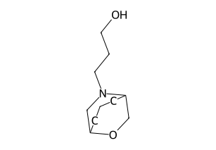 OCCCN1CC2CCCC1CO2